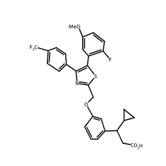 COc1ccc(F)c(-c2sc(COc3cccc(C(CC(=O)O)C4CC4)c3)nc2-c2ccc(C(F)(F)F)cc2)c1